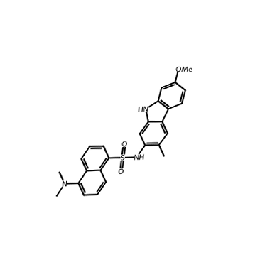 COc1ccc2c(c1)[nH]c1cc(NS(=O)(=O)c3cccc4c(N(C)C)cccc34)c(C)cc12